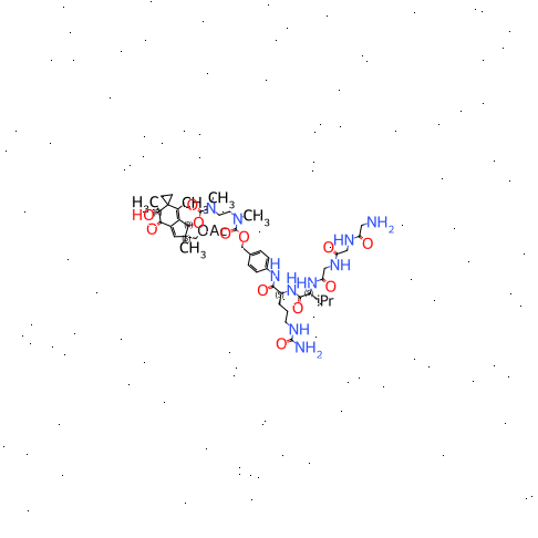 CC(=O)OC[C@]1(C)C=C2C(=O)[C@](C)(O)C3(CC3)C(C)=C2[C@H]1OC(=O)N(C)CCN(C)C(=O)OCc1ccc(NC(=O)[C@H](CCCNC(N)=O)NC(=O)[C@@H](NC(=O)CNC(=O)CNC(=O)CN)C(C)C)cc1